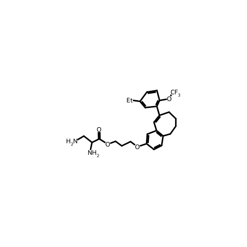 CCc1ccc(OC(F)(F)F)c(/C2=C/c3cc(OCCCOC(=O)C(N)CN)ccc3CCCC2)c1